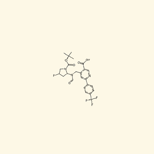 CC(C)(C)OC(=O)N1CC(F)CC1N(C=O)Cc1cc(-c2ccc(C(F)(F)F)cc2)ncc1C(=O)O